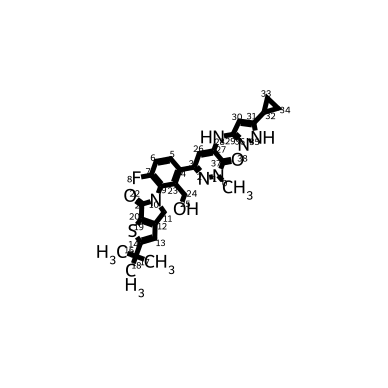 Cn1nc(-c2ccc(F)c(N3Cc4cc(C(C)(C)C)sc4C3=O)c2CO)cc(Nc2cc(C3CC3)[nH]n2)c1=O